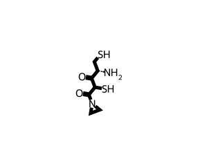 N[C@@H](CS)C(=O)C(S)C(=O)N1CC1